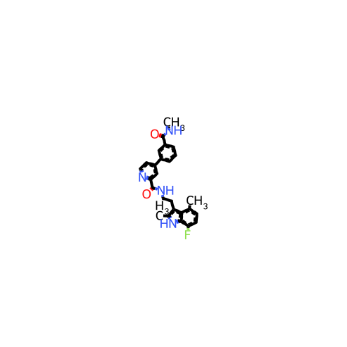 CNC(=O)c1cccc(-c2ccnc(C(=O)NCCc3c(C)[nH]c4c(F)ccc(C)c34)c2)c1